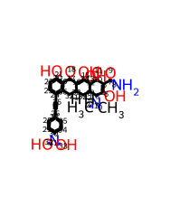 CN(C)[C@@H]1C(O)=C(C(N)=O)C(=O)[C@@]2(O)C(O)=C3C(=O)c4c(O)ccc(C#Cc5ccc(N(O)O)cc5)c4C[C@H]3C[C@@H]12